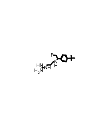 CC(C)(C)c1ccc(C(CF)NCCCNC(=N)N)cc1